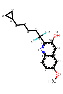 COc1ccc2nc(C(F)(F)CCCCC3CC3)c(O)cc2c1